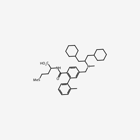 CSCCC(NC(=O)c1ccc(CN(C)C(CC2CCCCC2)CC2CCCCC2)cc1-c1ccccc1C)C(=O)O